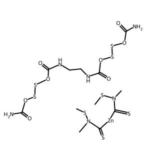 CSN(C)[C](=S)[Zn][C](=S)N(C)SC.NC(=O)OSSOC(=O)NCCNC(=O)OSSOC(N)=O